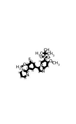 COc1cc2ncc(-c3cc(F)c(OC)c(-c4ncccn4)c3)n2cc1S(=O)(=O)C(C)(C)C